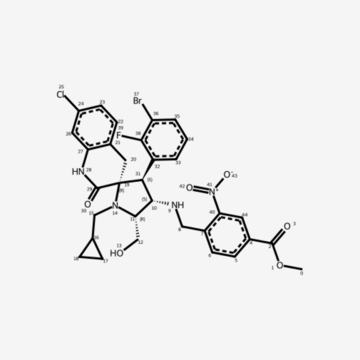 COC(=O)c1ccc(CN[C@@H]2[C@H](CO)N(CC3CC3)[C@]3(Cc4ccc(Cl)cc4NC3=O)[C@H]2c2cccc(Br)c2F)c([N+](=O)[O-])c1